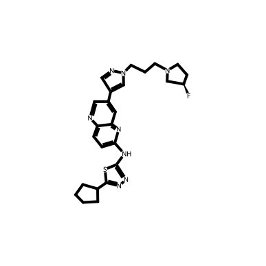 F[C@@H]1CCN(CCCn2cc(-c3cnc4ccc(Nc5nnc(C6CCCC6)s5)nc4c3)cn2)C1